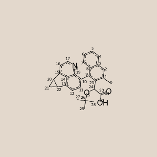 Cc1cc2ccccc2c(-c2ccc3c4c(ccnc24)C2CC32)c1C(OC(C)(C)C)C(=O)O